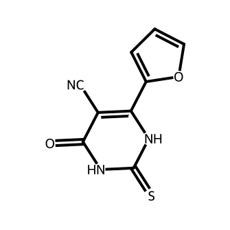 N#Cc1c(-c2ccco2)[nH]c(=S)[nH]c1=O